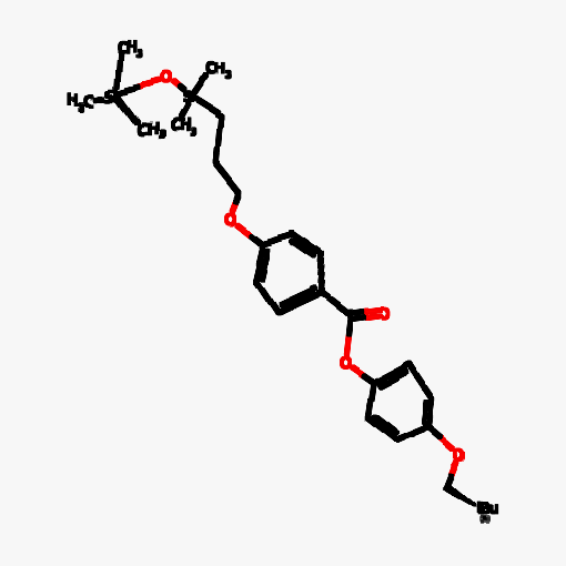 CC[C@H](C)COc1ccc(OC(=O)c2ccc(OCCC[Si](C)(C)O[Si](C)(C)C)cc2)cc1